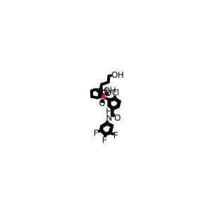 O=C(Nc1cc(F)c(F)c(F)c1)c1ccc(Cl)c(S(=O)(=O)[C@@H]2C3CCC2[C@@](O)(CCCO)C3)c1